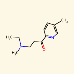 CCN(C)CCC(=O)c1ccc(C)cn1